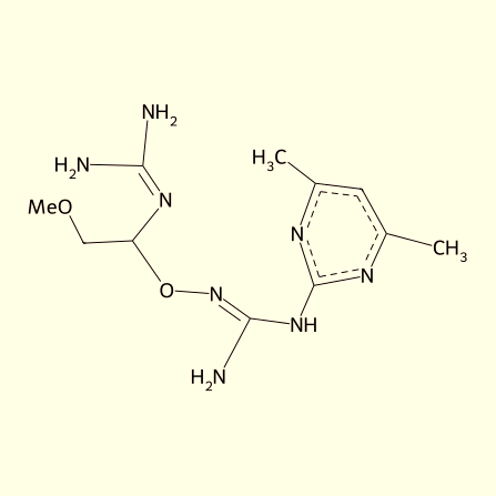 COCC(N=C(N)N)ON=C(N)Nc1nc(C)cc(C)n1